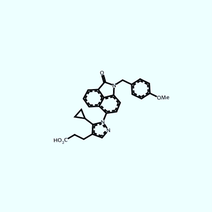 COc1ccc(CN2C(=O)c3cccc4c(-n5ncc(CCC(=O)O)c5C5CC5)ccc2c34)cc1